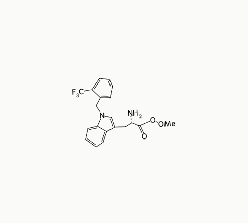 COOC(=O)[C@@H](N)Cc1cn(Cc2ccccc2C(F)(F)F)c2ccccc12